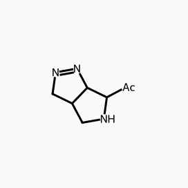 CC(=O)C1NCC2CN=NC21